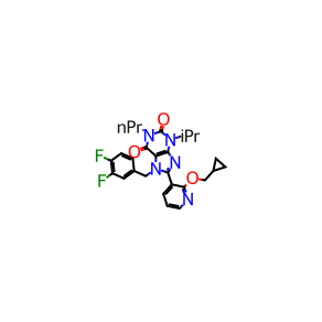 CCCn1c(=O)c2c(nc(-c3cccnc3OCC3CC3)n2Cc2ccc(F)c(F)c2)n(C(C)C)c1=O